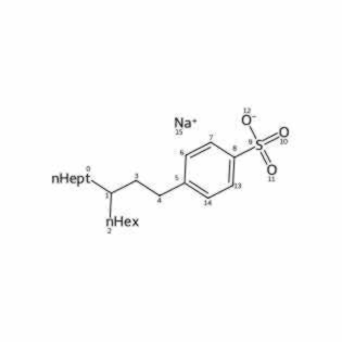 CCCCCCCC(CCCCCC)CCc1ccc(S(=O)(=O)[O-])cc1.[Na+]